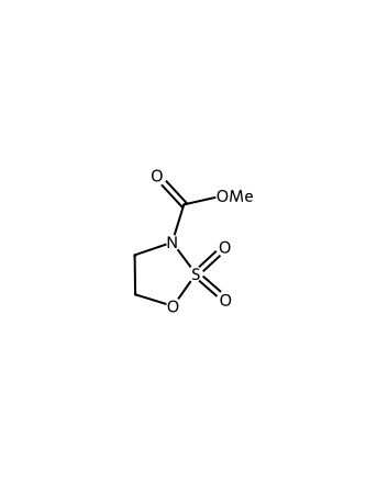 COC(=O)N1CCOS1(=O)=O